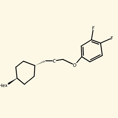 CCCCCC[C@H]1CC[C@H](CCCOc2ccc(F)c(F)c2)CC1